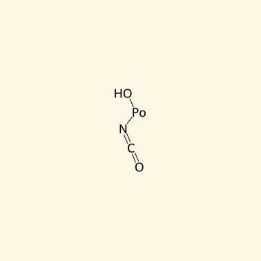 O=C=[N][Po][OH]